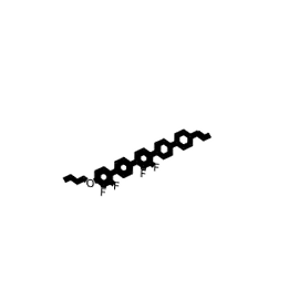 C/C=C/C1CCC(C2CC=C(c3ccc(-c4ccc(-c5ccc(OCCCC)c(F)c5F)cc4)c(F)c3F)CC2)CC1